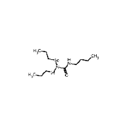 CCCCNC(=O)N([Se]CCC)[Se]CCC